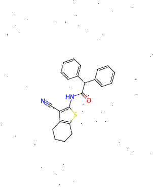 N#Cc1c(NC(=O)C(c2ccccc2)c2ccccc2)sc2c1CCCC2